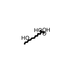 CCCC(O)CCCCCCCC(O)C(=O)O